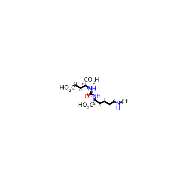 CCNCCCC[C@@H](NC(=O)N[C@H](CCC(=O)O)C(=O)O)C(=O)O